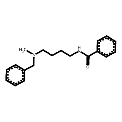 CN(CCCCNC(=O)c1ccccc1)Cc1ccccc1